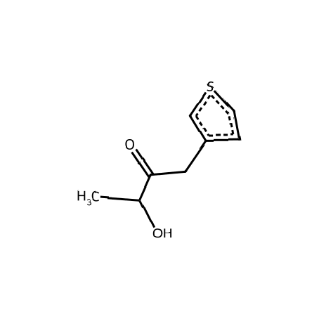 CC(O)C(=O)Cc1ccsc1